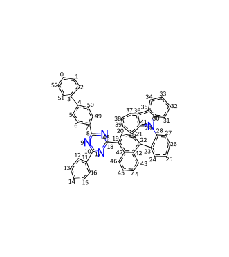 c1ccc(-c2ccc(-c3nc(-c4ccccc4)nc(-c4ccc(-c5ccccc5-n5c6ccccc6c6ccccc65)c5ccccc45)n3)cc2)cc1